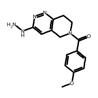 COc1ccc(C(=O)N2CCc3nnc(NN)cc3C2)cc1